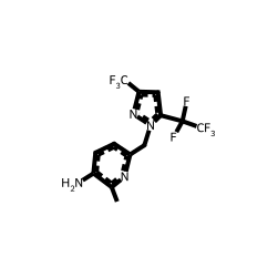 Cc1nc(Cn2nc(C(F)(F)F)cc2C(F)(F)C(F)(F)F)ccc1N